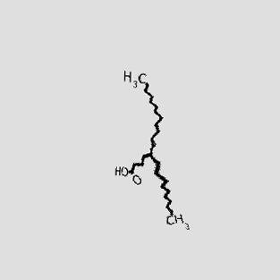 CCCCCCCCCCCCC(CCCCCCCCCC)CCCC(=O)O